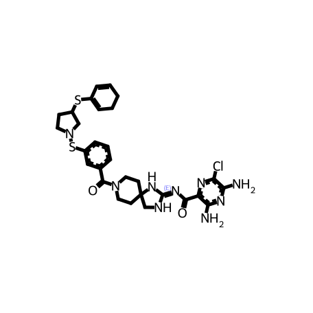 Nc1nc(N)c(C(=O)/N=C2\NCC3(CCN(C(=O)c4cccc(SN5CCC(SC6=CCCC=C6)C5)c4)CC3)N2)nc1Cl